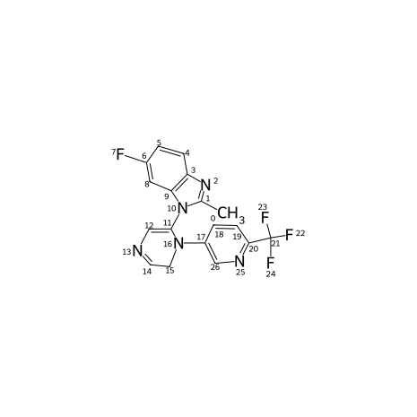 Cc1nc2ccc(F)cc2n1C1=CN=CCN1c1ccc(C(F)(F)F)nc1